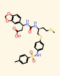 CSCC[C@@H](CSc1ccc(NS(=O)(=O)c2ccc(C)cc2)cc1)NC(=O)N[C@@H](CC(=O)O)c1ccc2c(c1)OCO2